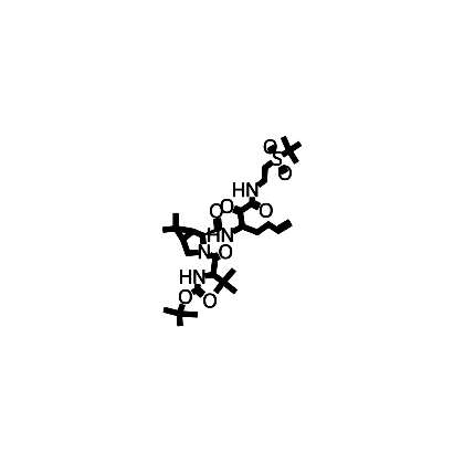 C=CCCC(NC(=O)[C@@H]1C2C(CN1C(=O)C(NC(=O)OC(C)(C)C)C(C)(C)C)C2(C)C)C(=O)C(=O)NCCS(=O)(=O)C(C)(C)C